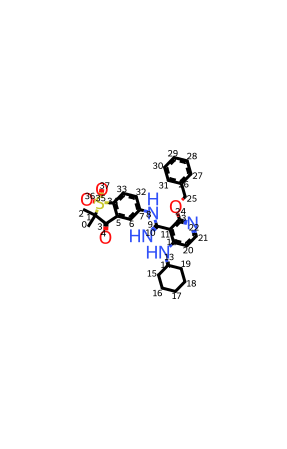 CC1(C)C(=O)c2cc(NC(=N)c3c(NC4CCCCC4)ccnc3OCc3ccccc3)ccc2S1(=O)=O